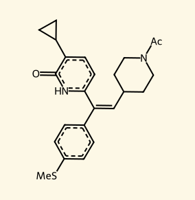 CSc1ccc(C(=CC2CCN(C(C)=O)CC2)c2ccc(C3CC3)c(=O)[nH]2)cc1